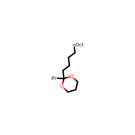 CCCCCCCCCCCCC1(C(C)C)OCCCO1